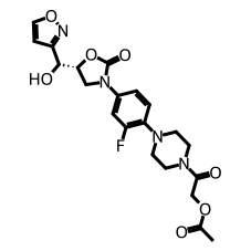 CC(=O)OCC(=O)N1CCN(c2ccc(N3C[C@H](C(O)c4ccon4)OC3=O)cc2F)CC1